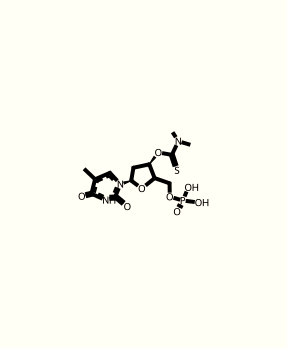 Cc1cn([C@H]2C[C@@H](OC(=S)N(C)C)C(COP(=O)(O)O)O2)c(=O)[nH]c1=O